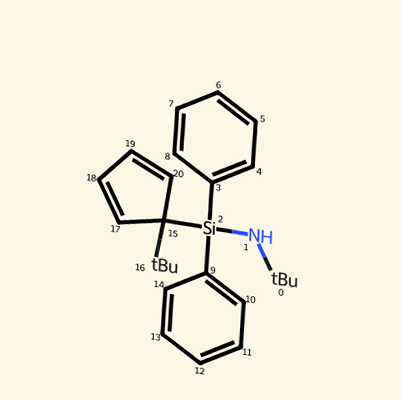 CC(C)(C)N[Si](c1ccccc1)(c1ccccc1)C1(C(C)(C)C)C=CC=C1